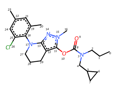 CCCN(CC1CC1)C(=O)Oc1c2c(nn1C)N(c1c(C)cc(C)cc1Cl)CCC2